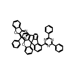 c1ccc(-c2nc(-c3ccccc3)nc(-c3cccc4c3-c3cccc(-c5nc(-c6ccccc6)c6oc7ccccc7c6n5)c3C43c4ccccc4Oc4ccccc43)n2)cc1